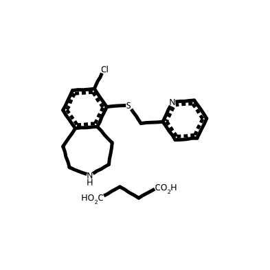 Clc1ccc2c(c1SCc1ccccn1)CCNCC2.O=C(O)CCC(=O)O